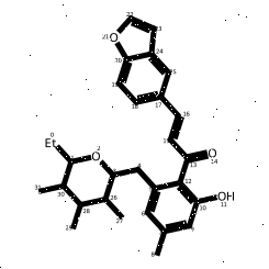 CCC1OC(Cc2cc(C)cc(O)c2C(=O)/C=C/c2ccc3occc3c2)C(C)C(C)C1C